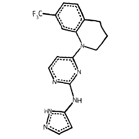 FC(F)(F)c1ccc2c(c1)N(c1ccnc(Nc3ccn[nH]3)n1)CCC2